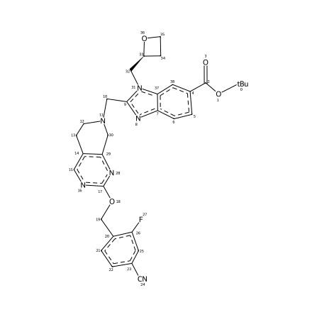 CC(C)(C)OC(=O)c1ccc2nc(CN3CCc4cnc(OCc5ccc(C#N)cc5F)nc4C3)n(C[C@@H]3CCO3)c2c1